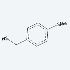 CSc1ccc(CS)cc1